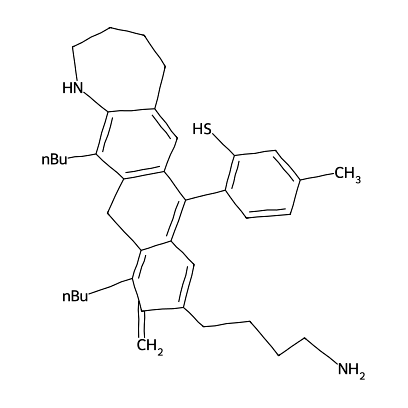 C=c1c(CCCCN)cc2c(c1CCCC)Cc1c(cc3c(c1CCCC)NCCCC3)C=2c1ccc(C)cc1S